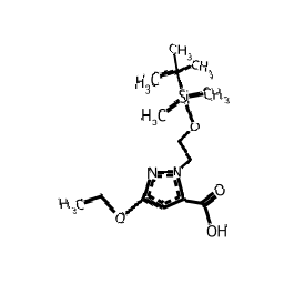 CCOc1cc(C(=O)O)n(CCO[Si](C)(C)C(C)(C)C)n1